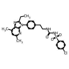 CCc1nc2c(C)cc(C)nc2n1-c1ccc(CCNC(=O)NS(=O)(=O)c2ccc(Cl)cc2)cc1